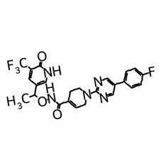 CC(ONC(=O)C1=CCN(c2ncc(-c3ccc(F)cc3)cn2)CC1)c1c[nH]c(=O)c(C(F)(F)F)c1